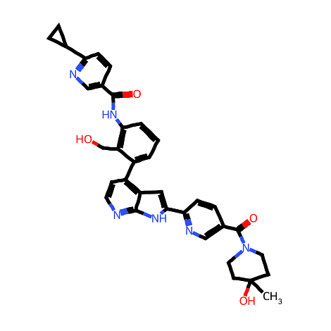 CC1(O)CCN(C(=O)c2ccc(-c3cc4c(-c5cccc(NC(=O)c6ccc(C7CC7)nc6)c5CO)ccnc4[nH]3)nc2)CC1